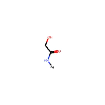 [2H]NC(=O)CO